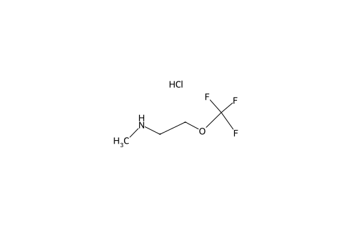 CNCCOC(F)(F)F.Cl